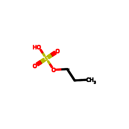 CC[CH]OS(=O)(=O)O